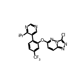 CC(C)c1ncncc1-c1ccc(C(F)(F)F)cc1Oc1ccc2nnc(Cl)n2n1